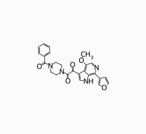 COc1cnc(-c2ccoc2)c2[nH]cc(C(=O)C(=O)N3CCN(C(=O)c4ccccc4)CC3)c12